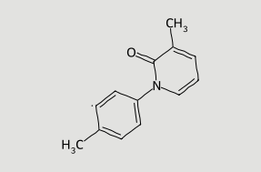 Cc1[c]cc(-n2cccc(C)c2=O)cc1